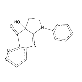 O=C1c2nnccc2N=C2N(c3ccccc3)CCC12O